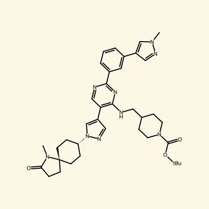 Cn1cc(-c2cccc(-c3ncc(-c4cnn([C@H]5CC[C@]6(CCC(=O)N6C)CC5)c4)c(NCC4CCN(C(=O)OC(C)(C)C)CC4)n3)c2)cn1